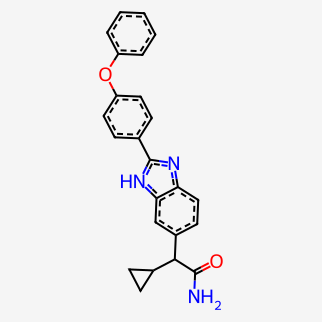 NC(=O)C(c1ccc2nc(-c3ccc(Oc4ccccc4)cc3)[nH]c2c1)C1CC1